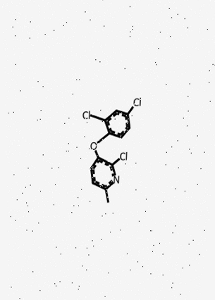 Cc1ccc(Oc2ccc(Cl)cc2Cl)c(Cl)n1